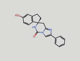 O=C1N[C@@]2(CCc3cc(O)ccc32)Cc2nc(-c3ccccc3)cn21